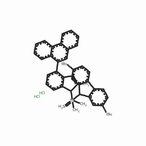 CC1=Cc2c(-c3cc4ccccc4c4ccccc34)cccc2[CH]1[Zr]([CH3])([CH3])(=[SiH2])[CH]1c2cc(C(C)(C)C)ccc2-c2ccc(C(C)(C)C)cc21.Cl.Cl